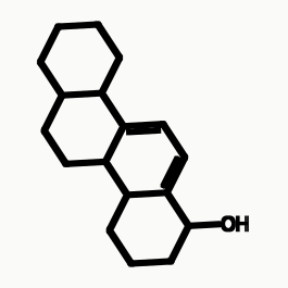 OC1CCCC2C1=CC=C1C3CCCCC3CCC12